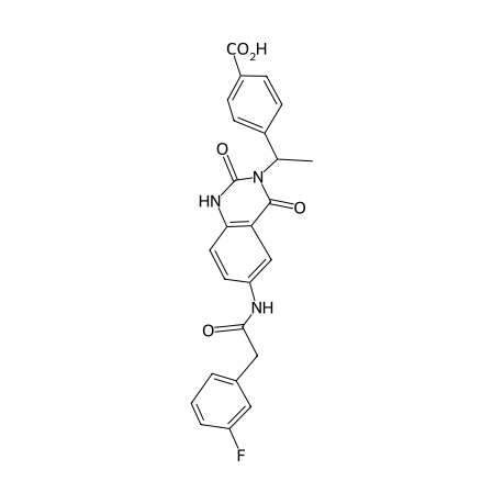 CC(c1ccc(C(=O)O)cc1)n1c(=O)[nH]c2ccc(NC(=O)Cc3cccc(F)c3)cc2c1=O